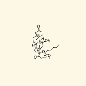 CCCCCC1(OC)OCC(=O)[C@]2(CC[C@H]3[C@@H]4CCC5=CC(=O)CC[C@]5(C)[C@H]4[C@@H](O)C[C@@]32C)O1